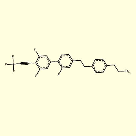 CCCc1ccc(CCc2ccc(-c3cc(F)c(C#CC(F)(F)F)c(F)c3)c(F)c2)cc1